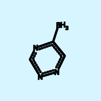 Bc1cnncn1